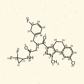 Cn1nc(C(=O)N(CC(=O)NC2CC2(F)F)CC2=CC=CC(F)C2)c2c1-c1cc(Cl)ccc1CC2